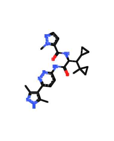 Cc1n[nH]c(C)c1-c1ccc(NC(=O)[C@@H](NC(=O)c2ccnn2C)C(C2CC2)C2(C)CC2)nn1